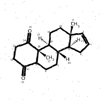 C[C@@]12C=CC[C@H]1[C@@H]1CCC3C(=O)CCC(=O)[C@]3(C)[C@H]1CC2